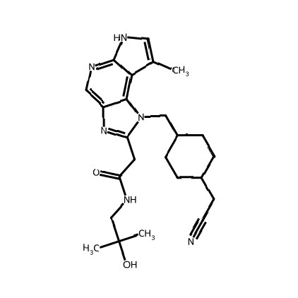 Cc1c[nH]c2ncc3nc(CC(=O)NCC(C)(C)O)n(CC4CCC(CC#N)CC4)c3c12